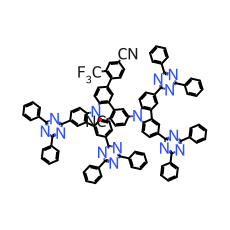 N#Cc1ccc(-c2ccc(-n3c4ccc(-c5nc(-c6ccccc6)nc(-c6ccccc6)n5)cc4c4cc(-c5nc(-c6ccccc6)nc(-c6ccccc6)n5)ccc43)c(-c3cc(-n4c5ccc(-c6nc(-c7ccccc7)nc(-c7ccccc7)n6)cc5c5cc(-c6nc(-c7ccccc7)nc(-c7ccccc7)n6)ccc54)ccc3C#N)c2)c(C(F)(F)F)c1